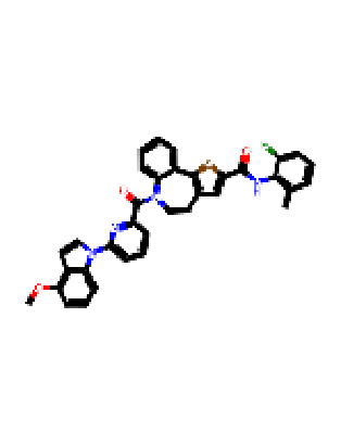 COc1cccc2c1ccn2-c1cccc(C(=O)N2CCc3cc(C(=O)Nc4c(C)cccc4F)sc3-c3ccccc32)n1